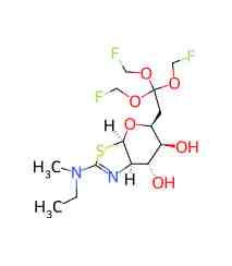 CCN(C)C1=N[C@@H]2[C@@H](O)[C@H](O)[C@H](CC(OCF)(OCF)OCF)O[C@@H]2S1